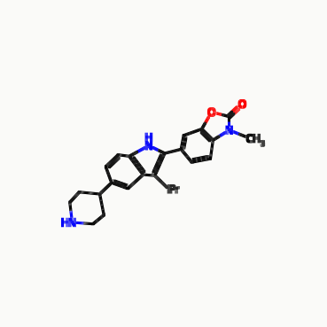 CC(C)c1c(-c2ccc3c(c2)oc(=O)n3C)[nH]c2ccc(C3CCNCC3)cc12